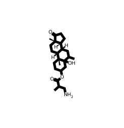 CC(CN)C(=O)OC1CC[C@]2(C)[C@@H]3CC[C@]4(C)C(=O)CC[C@H]4[C@@H]3CC(C)C2(O)C1